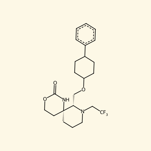 O=C1N[C@]2(CCCN(CC(F)(F)F)[C@H]2COC2CCC(c3ccccc3)CC2)CCO1